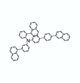 c1cc(-c2cccc3ccccc23)cc(N(c2ccc(-c3ccc(-c4ccc5ccccc5c4)cc3)cc2)c2ccccc2-c2cccc3ccccc23)c1